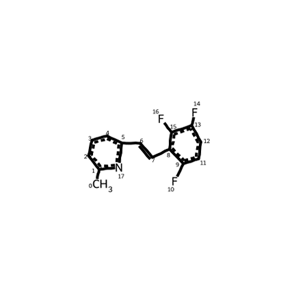 Cc1cccc(C=Cc2c(F)ccc(F)c2F)n1